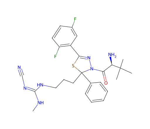 CN/C(=N/C#N)NCCCC1(c2ccccc2)SC(c2cc(F)ccc2F)=NN1C(=O)[C@@H](N)C(C)(C)C